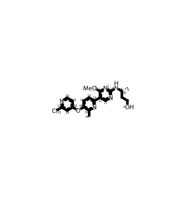 COc1nc(N[C@H](C)CCO)ncc1-c1ccc(Oc2ccnc(Cl)c2)c(C)n1